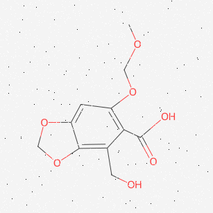 COCOc1cc2c(c(CO)c1C(=O)O)OCO2